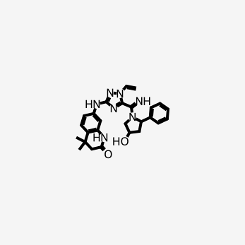 C=Cn1nc(Nc2ccc3c(c2)NC(=O)CC3(C)C)nc1C(=N)N1CC(O)CC1c1ccccc1